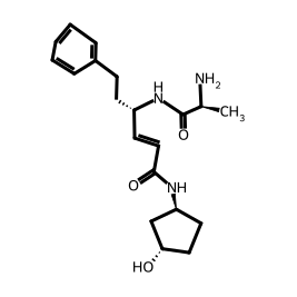 C[C@H](N)C(=O)N[C@H](/C=C/C(=O)N[C@H]1CC[C@H](O)C1)CCc1ccccc1